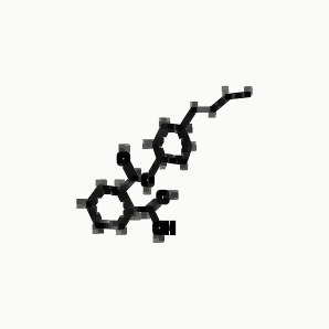 CCCCc1ccc(OC(=O)c2ccccc2C(=O)O)cc1